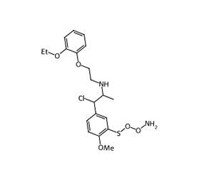 CCOc1ccccc1OCCNC(C)C(Cl)c1ccc(OC)c(SOON)c1